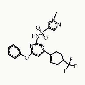 Cn1cc(S(=O)(=O)Nc2nc(Oc3ccccc3)cc(C3=CCC(C(F)(F)F)CC3)n2)cn1